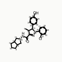 CC1C(C(=O)NN2CC3CCCC3C2)=NN(c2ccccc2Cl)C1c1ccc(O)cc1